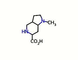 CN1CCC2CNC(C(=O)O)CC21